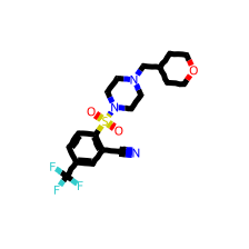 N#Cc1cc(C(F)(F)F)ccc1S(=O)(=O)N1CCN(CC2CCOCC2)CC1